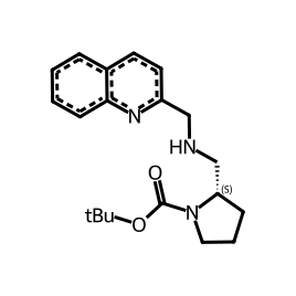 CC(C)(C)OC(=O)N1CCC[C@H]1CNCc1ccc2ccccc2n1